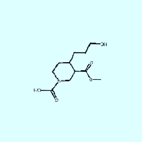 COC(=O)C1CN(C(=O)O)CCC1CCCO